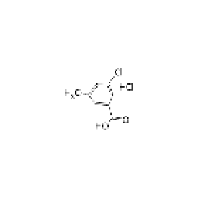 Cc1cc(Cl)cc(C(=O)O)c1.Cl